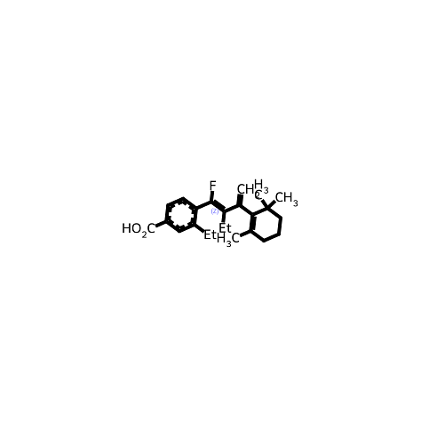 C=C(C1=C(C)CCCC1(C)C)/C(CC)=C(\F)c1ccc(C(=O)O)cc1CC